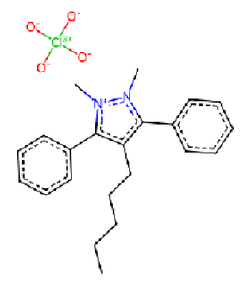 CCCCCc1c(-c2ccccc2)n(C)[n+](C)c1-c1ccccc1.[O-][Cl+3]([O-])([O-])[O-]